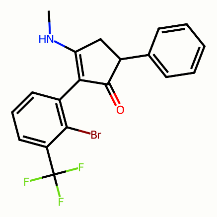 CNC1=C(c2cccc(C(F)(F)F)c2Br)C(=O)C(c2ccccc2)C1